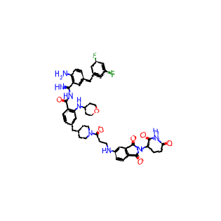 N=C(NC(=O)c1ccc(CC2CCN(C(=O)CCNc3ccc4c(c3)C(=O)N(C3CCC(=O)NC3=O)C4=O)CC2)cc1NC1CCOCC1)c1cc(Cc2cc(F)cc(F)c2)ccc1N